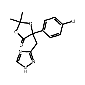 CC1(C)OC(=O)C(Cc2nc[nH]n2)(c2ccc(Cl)cc2)O1